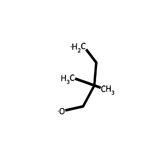 [CH2]CC(C)(C)C[O]